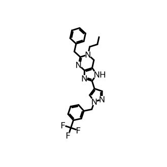 CCCN1Cc2[nH]c(-c3cnn(Cc4cccc(C(F)(F)F)c4)c3)nc2N=C1Cc1ccccc1